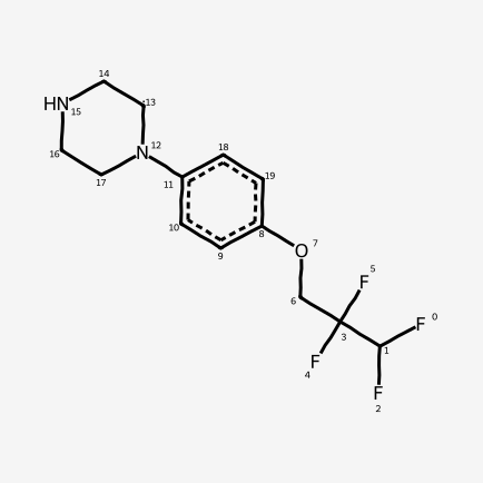 FC(F)C(F)(F)COc1ccc(N2[CH]CNCC2)cc1